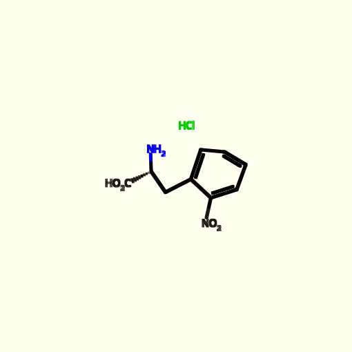 Cl.N[C@H](Cc1ccccc1[N+](=O)[O-])C(=O)O